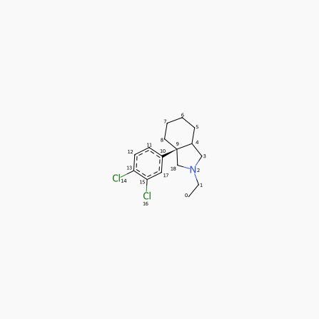 CCN1CC2CCCC[C@@]2(c2ccc(Cl)c(Cl)c2)C1